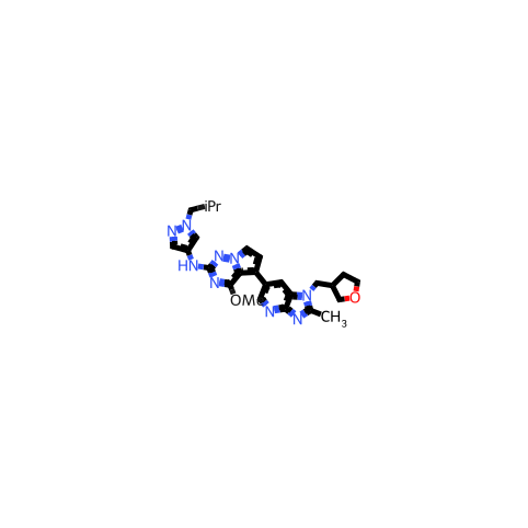 COc1nc(Nc2cnn(CC(C)C)c2)nn2ccc(-c3cnc4nc(C)n(CC5CCOC5)c4c3)c12